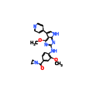 COc1cc(C(=O)N2CC2)ccc1Nc1nc(OC)c2c(-c3ccncc3)c[nH]c2n1